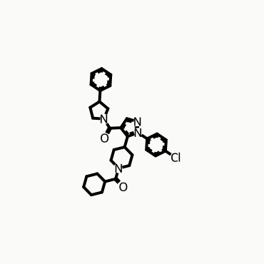 O=C(c1cnn(-c2ccc(Cl)cc2)c1C1CCN(C(=O)C2CCCCC2)CC1)N1CCC(c2ccccc2)C1